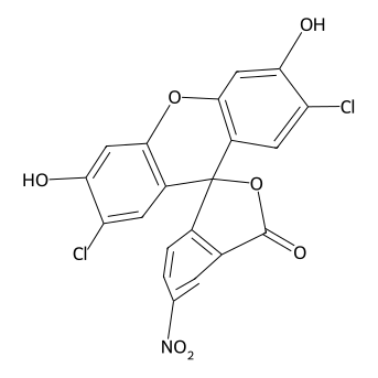 O=C1OC2(c3cc(Cl)c(O)cc3Oc3cc(O)c(Cl)cc32)c2ccc([N+](=O)[O-])cc21